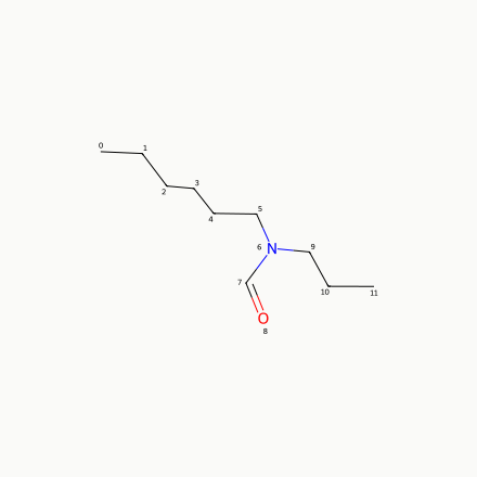 CCCCCCN(C=O)CCC